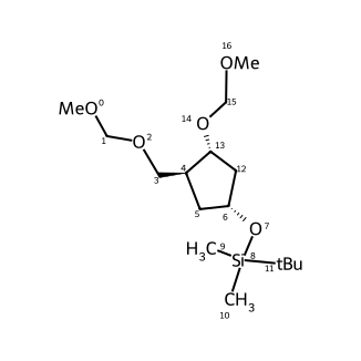 COCOC[C@@H]1C[C@@H](O[Si](C)(C)C(C)(C)C)C[C@H]1OCOC